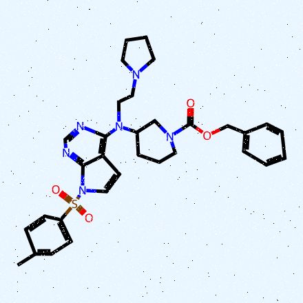 Cc1ccc(S(=O)(=O)n2ccc3c(N(CCN4CCCC4)C4CCCN(C(=O)OCc5ccccc5)C4)ncnc32)cc1